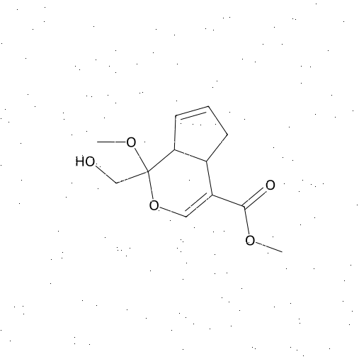 COC(=O)C1=COC(CO)(OC)C2C=CCC12